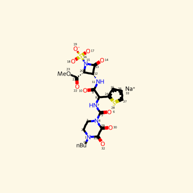 CCCCN1CCN(C(=O)NC(C(=O)N[C@H]2C(=O)N(S(=O)(=O)[O-])[C@H]2C(=O)OC)c2cccs2)C(=O)C1=O.[Na+]